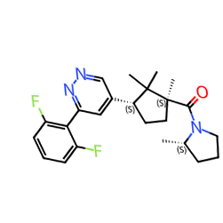 C[C@H]1CCCN1C(=O)[C@@]1(C)CC[C@H](c2cnnc(-c3c(F)cccc3F)c2)C1(C)C